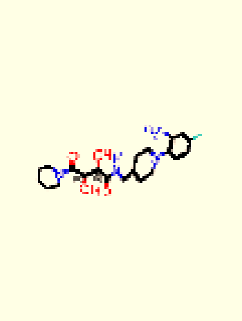 Nc1cc(F)ccc1N1CCC(CNC(=O)[C@H](O)[C@@H](O)C(=O)N2CCCCC2)CC1